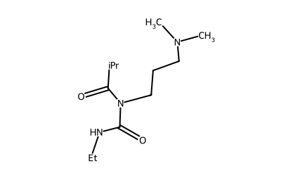 CCNC(=O)N(CCCN(C)C)C(=O)C(C)C